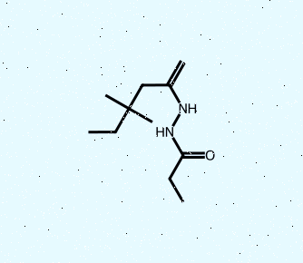 C=C(CC(C)(C)CC)NNC(=O)CC